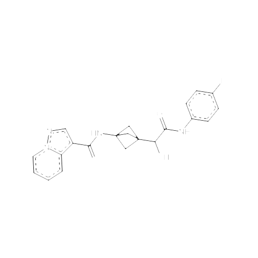 CC(C(=O)Nc1ccc(F)cc1)C12CC(NC(=O)c3cnn4ccccc34)(C1)C2